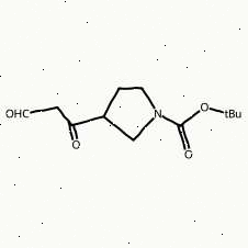 CC(C)(C)OC(=O)N1CCC(C(=O)CC=O)C1